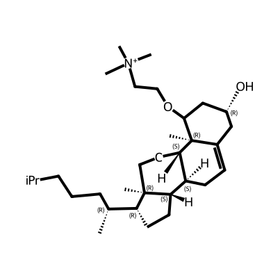 CC(C)CCC[C@@H](C)[C@H]1CC[C@H]2[C@@H]3CC=C4C[C@@H](O)CC(OCC[N+](C)(C)C)[C@]4(C)[C@H]3CC[C@]12C